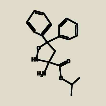 CC(C)OC(=O)C1(N)CC(c2ccccc2)(c2ccccc2)ON1